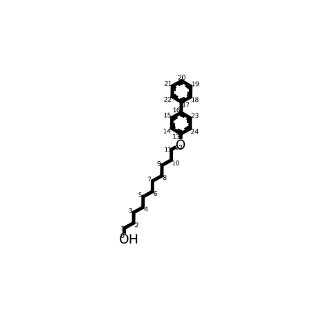 OCCCCCCCCCCCOc1ccc(-c2ccccc2)cc1